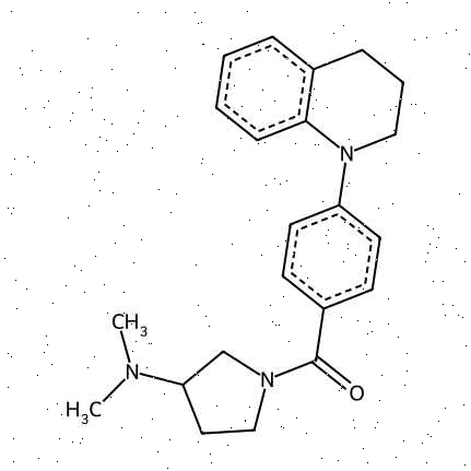 CN(C)C1CCN(C(=O)c2ccc(N3CCCc4ccccc43)cc2)C1